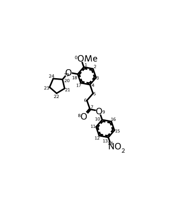 COc1ccc(CCC(=O)Oc2ccc([N+](=O)[O-])cc2)cc1OC1CCCC1